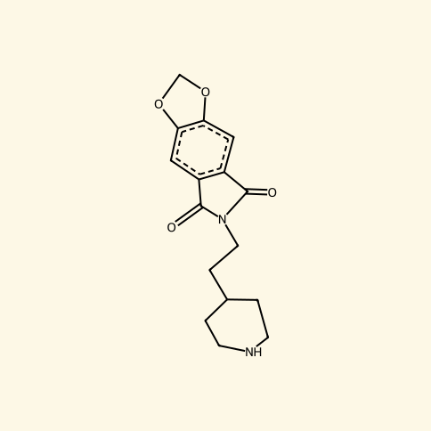 O=C1c2cc3c(cc2C(=O)N1CCC1CCNCC1)OCO3